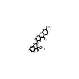 CC1CCN(C(=O)c2cncc(CSc3ccccc3C(C)(F)F)c2)CC1